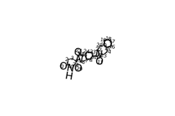 O=C1CCC(N2Cc3cc(C(=O)N4CCc5ccccc5CC4)ccc3C2=O)C(=O)N1